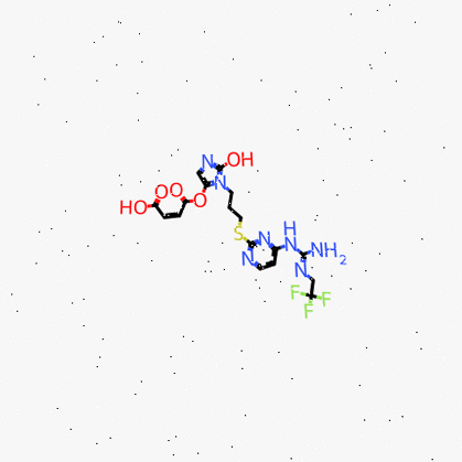 NC(=NCC(F)(F)F)Nc1ccnc(SCCCn2c(OC(=O)/C=C\C(=O)O)cnc2O)n1